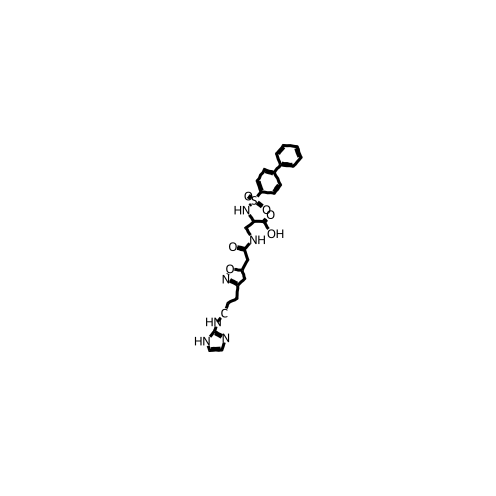 O=C(CC1CC(CCCNc2ncc[nH]2)=NO1)NCC(NS(=O)(=O)c1ccc(-c2ccccc2)cc1)C(=O)O